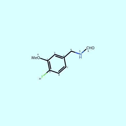 COc1cc(CNC=O)ccc1F